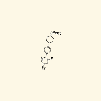 CCCCC[C@H]1CC[C@H](c2ccc(-c3ncc(Br)cc3F)cc2)CC1